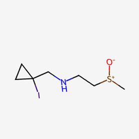 C[S+]([O-])CCNCC1(I)CC1